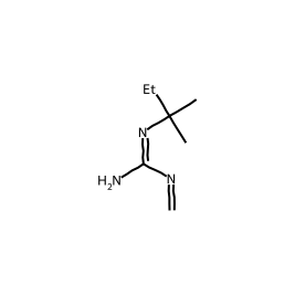 C=N/C(N)=N\C(C)(C)CC